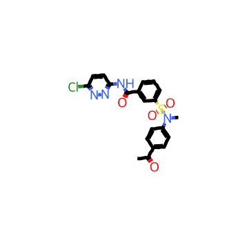 CC(=O)c1ccc(N(C)S(=O)(=O)c2cccc(C(=O)Nc3ccc(Cl)nn3)c2)cc1